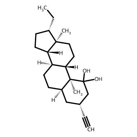 C#C[C@@H]1C[C@H]2CC[C@H]3[C@@H]4CC[C@H](CC)[C@@]4(C)CC[C@@H]3[C@@]2(C)C(O)(O)C1